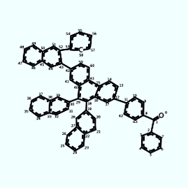 O=C(c1ccccc1)c1ccc(-c2ccc3c(c2)c(-c2ccc4ccccc4c2)c(-c2ccc4ccccc4c2)c2cc(-c4cc5ccccc5cc4-c4ccccc4)ccc23)cc1